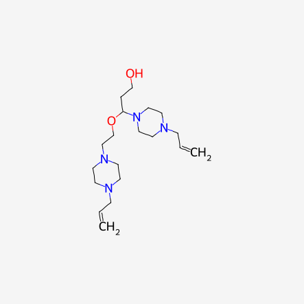 C=CCN1CCN(CCOC(CCO)N2CCN(CC=C)CC2)CC1